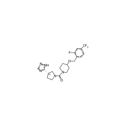 O=C(N1CCC(OCc2ccc(C(F)(F)F)cc2F)CC1)N1CC[C@H](c2ncn[nH]2)C1